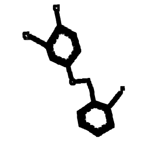 Fc1ccccc1COc1ccc(Cl)c(Cl)c1